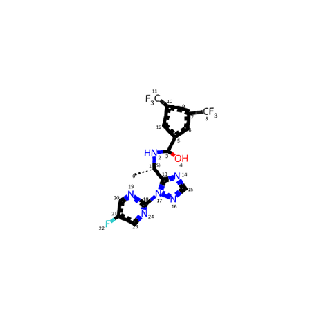 C[C@H](NC(O)c1cc(C(F)(F)F)cc(C(F)(F)F)c1)c1ncnn1-c1ncc(F)cn1